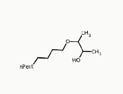 CCCCCCCCCOC(C)C(C)O